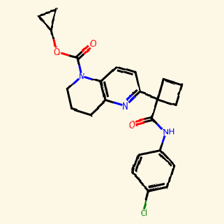 O=C(OC1CC1)N1CCCc2nc(C3(C(=O)Nc4ccc(Cl)cc4)CCC3)ccc21